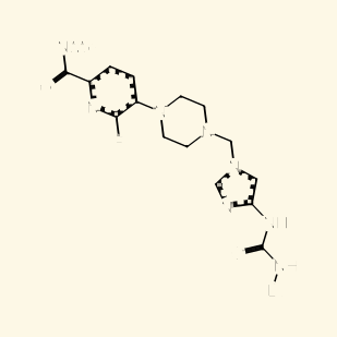 CCNC(=O)Nc1cn(CN2CCN(c3ccc(C(=O)NC)nc3F)CC2)cn1